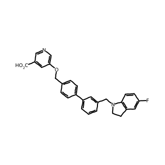 O=C(O)c1cncc(OCc2ccc(-c3cccc(CN4CCc5cc(F)ccc54)c3)cc2)c1